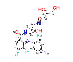 O=C(c1ccc(F)c(F)c1Nc1ccc(I)cc1F)N1CC(O)(CNOCC(O)CO)C1